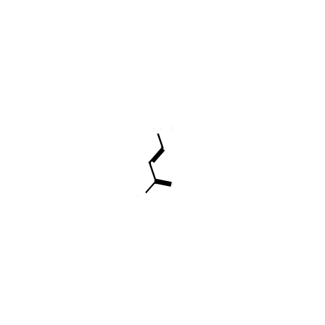 C=C(/C=C/C(=O)O)CC